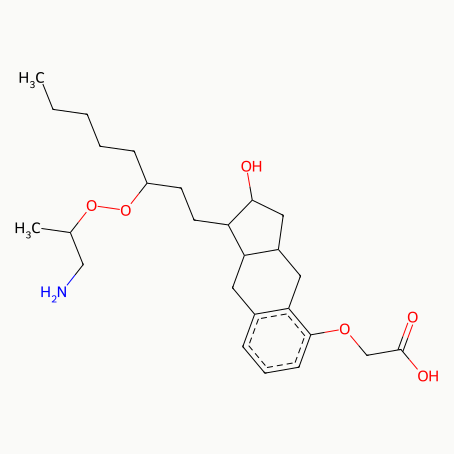 CCCCCC(CCC1C(O)CC2Cc3c(cccc3OCC(=O)O)CC21)OOC(C)CN